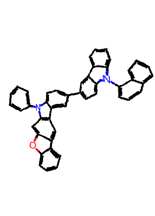 c1ccc(-n2c3ccc(-c4ccc5c(c4)c4ccccc4n5-c4cccc5ccccc45)cc3c3cc4c(cc32)oc2ccccc24)cc1